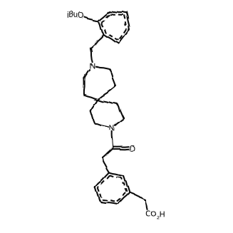 CC(C)COc1ccccc1CN1CCC2(CC1)CCN(C(=O)Cc1cccc(CC(=O)O)c1)CC2